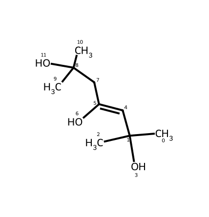 CC(C)(O)C=C(O)CC(C)(C)O